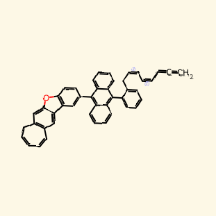 C=C=C/C=C\C=C/Cc1ccccc1-c1c2ccccc2c(-c2ccc3oc4cc5c(cc4c3c2)C=CC=CC5)c2ccccc12